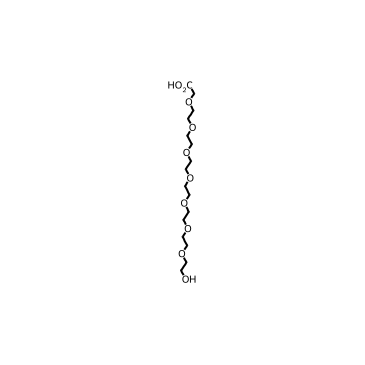 O=C(O)COCCOCCOCCOCCOCCOCCOCCO